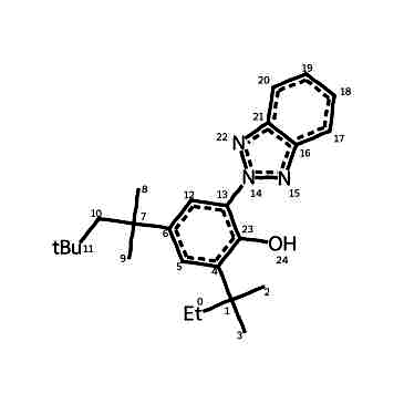 CCC(C)(C)c1cc(C(C)(C)CC(C)(C)C)cc(-n2nc3ccccc3n2)c1O